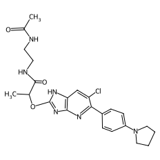 CC(=O)NCCNC(=O)C(C)Oc1nc2nc(-c3ccc(N4CCCC4)cc3)c(Cl)cc2[nH]1